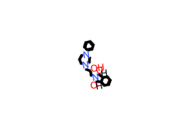 O=C1[C@H]2CC=CC[C@H]2C(=O)N1CC(O)CN1CCCN(c2ccccc2)CC1